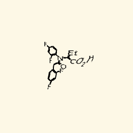 CCC(C(=O)O)N(C(=O)Cc1ccc(F)cc1F)c1ccc(F)cc1F